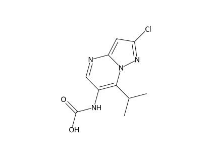 CC(C)c1c(NC(=O)O)cnc2cc(Cl)nn12